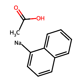 CC(=O)O.[Na][c]1cccc2ccccc12